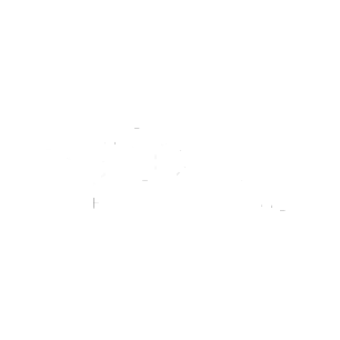 CCOCC1CCC(c2ccc(C(F)(F)Oc3cc(F)c(F)c(F)c3)c(F)c2)CC1